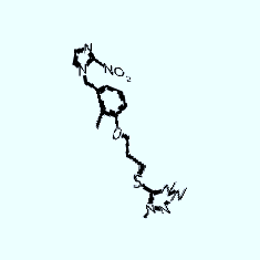 Cc1c(Cn2ccnc2[N+](=O)[O-])cccc1OCCCSc1nnnn1C